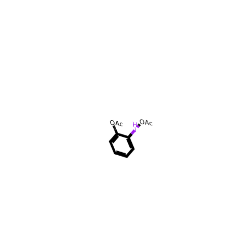 CC(=O)O[IH]c1ccccc1OC(C)=O